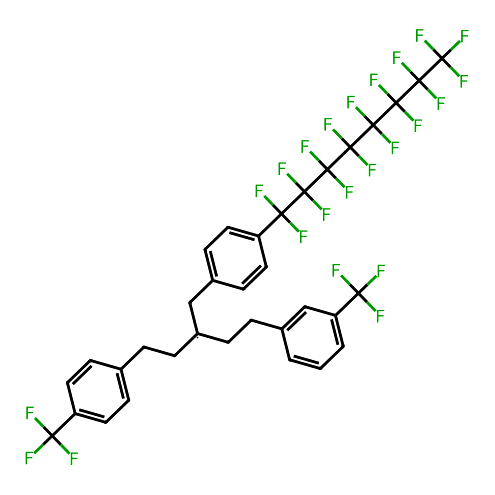 FC(F)(F)c1ccc(CC[C](CCc2cccc(C(F)(F)F)c2)Cc2ccc(C(F)(F)C(F)(F)C(F)(F)C(F)(F)C(F)(F)C(F)(F)C(F)(F)C(F)(F)F)cc2)cc1